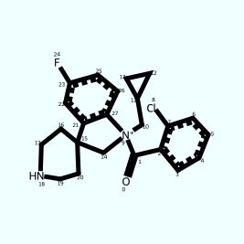 O=C(c1ccccc1Cl)[N+]1(CC2CC2)CC2(CCNCC2)c2cc(F)ccc21